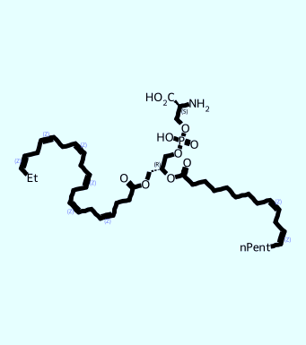 CC/C=C\C/C=C\C/C=C\C/C=C\C/C=C\C/C=C\CCC(=O)OC[C@H](COP(=O)(O)OC[C@H](N)C(=O)O)OC(=O)CCCCCCC/C=C\C/C=C\CCCCC